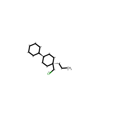 CCC[C@]1(CCl)CC[C@@H](C2CCCCC2)CC1